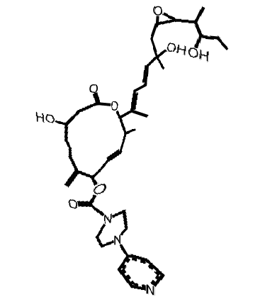 C=C1CCC(O)CC(=O)OC(/C(C)=C/C=C/C(C)(O)CC2OC2C(C)C(O)CC)C(C)/C=C/C1OC(=O)N1CCN(c2ccncc2)CC1